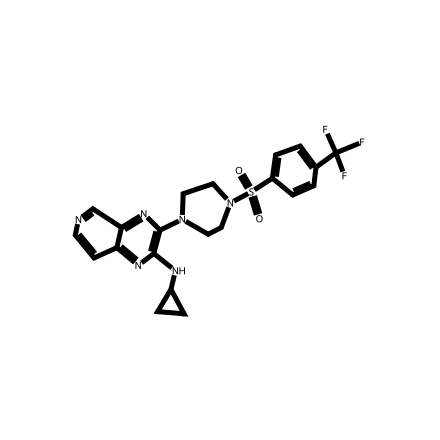 O=S(=O)(c1ccc(C(F)(F)F)cc1)N1CCN(c2nc3cnccc3nc2NC2CC2)CC1